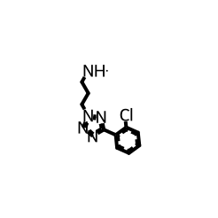 [NH]CCCn1nnc(-c2ccccc2Cl)n1